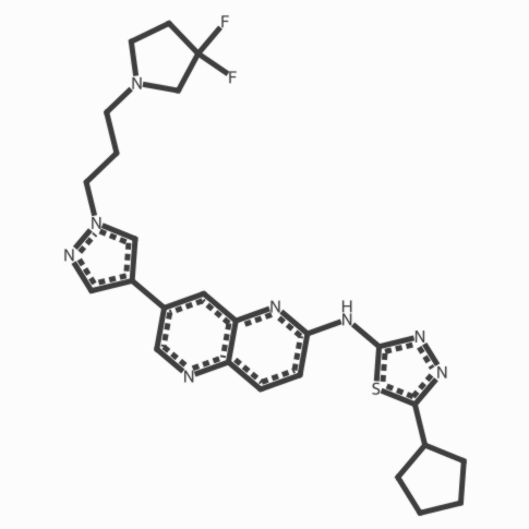 FC1(F)CCN(CCCn2cc(-c3cnc4ccc(Nc5nnc(C6CCCC6)s5)nc4c3)cn2)C1